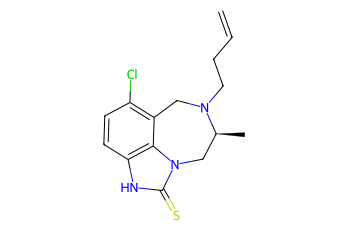 C=CCCN1Cc2c(Cl)ccc3[nH]c(=S)n(c23)C[C@@H]1C